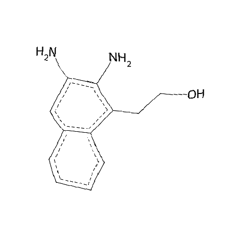 Nc1cc2ccccc2c(CCO)c1N